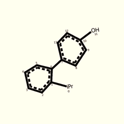 CC(C)c1ccccc1-c1ccc(O)cc1